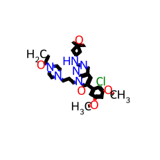 C=CC(=O)N1CCN(CCCn2c(=O)c(-c3cc(OC)cc(OC)c3Cl)cc3cnc(NC4CC5(COC5)C4)nc32)CC1